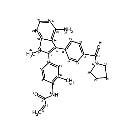 C=CC(=O)Nc1ccc(-c2c(-c3ccc(C(=O)N4CCCC4)cc3)c3c(N)ncnc3n2C)cc1C